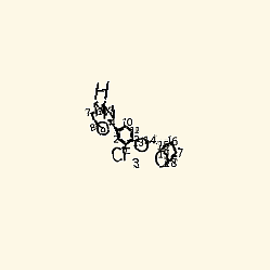 FC(F)(F)c1cc(C2=NNCCO2)ccc1OC[C@@H]1CCCO1